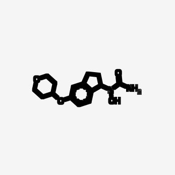 NC(=O)N(O)C1CCc2cc(OC3CCOCC3)ccc21